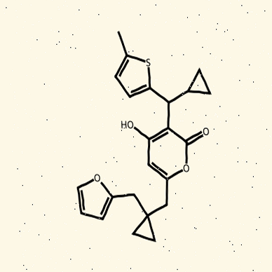 Cc1ccc(C(c2c(O)cc(CC3(Cc4ccco4)CC3)oc2=O)C2CC2)s1